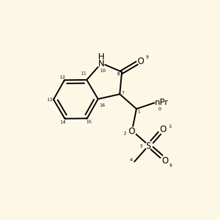 CCCC(OS(C)(=O)=O)C1C(=O)Nc2ccccc21